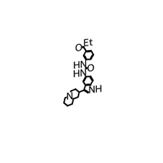 CCC(=O)c1cccc(NC(=O)Nc2ccc3[nH]cc(C4CCN5CCCCC5C4)c3c2)c1